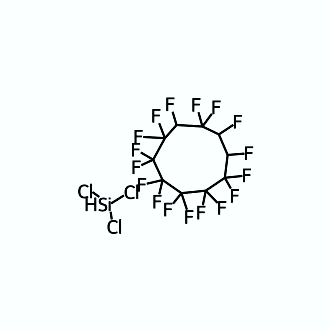 Cl[SiH](Cl)Cl.FC1C(F)C(F)(F)C(F)(F)C(F)(F)C(F)(F)C(F)(F)C(F)(F)C(F)C1(F)F